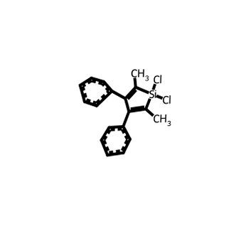 CC1=C(c2ccccc2)C(c2ccccc2)=C(C)[Si]1(Cl)Cl